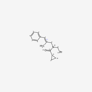 C/C(=C\c1ccccc1)CN(CC(C)C)C(=O)C1CC1